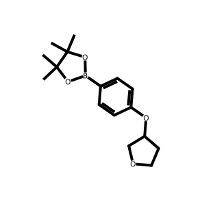 CC1(C)OB(c2ccc(OC3CCOC3)cc2)OC1(C)C